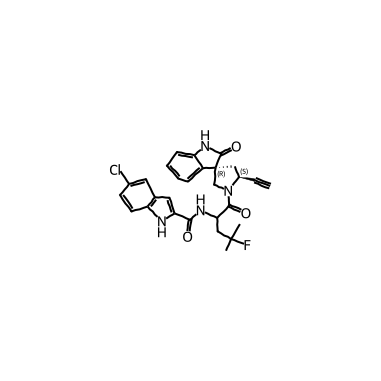 C#C[C@@H]1C[C@@]2(CN1C(=O)C(CC(C)(C)F)NC(=O)c1cc3cc(Cl)ccc3[nH]1)C(=O)Nc1ccccc12